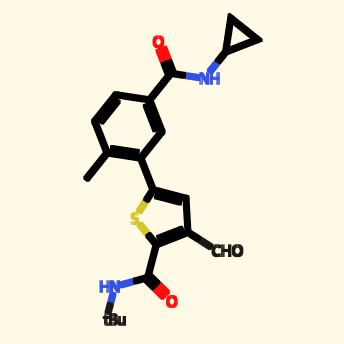 Cc1ccc(C(=O)NC2CC2)cc1-c1cc(C=O)c(C(=O)NC(C)(C)C)s1